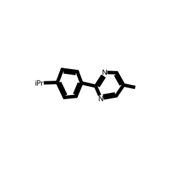 Cc1cnc(-c2ccc(C(C)C)cc2)nc1